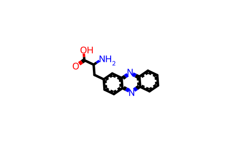 NC(Cc1ccc2nc3ccccc3nc2c1)C(=O)O